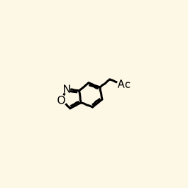 CC(=O)Cc1ccc2conc2c1